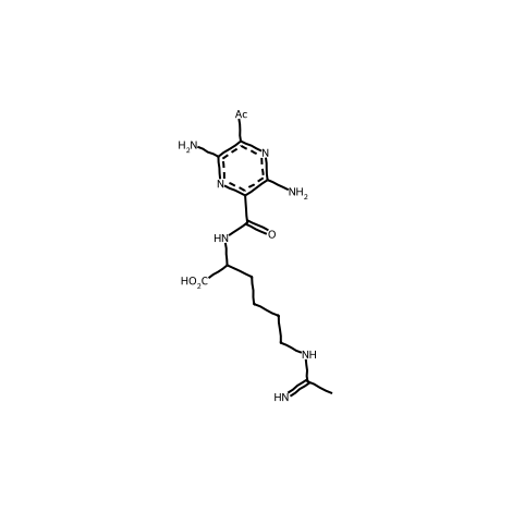 CC(=N)NCCCCC(NC(=O)c1nc(N)c(C(C)=O)nc1N)C(=O)O